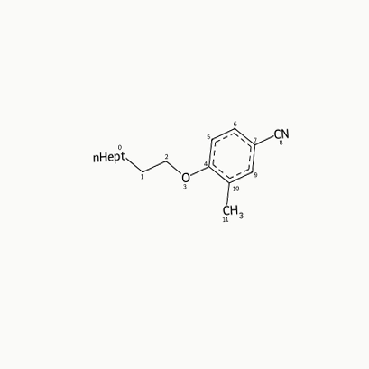 CCCCCCCCCOc1ccc(C#N)cc1C